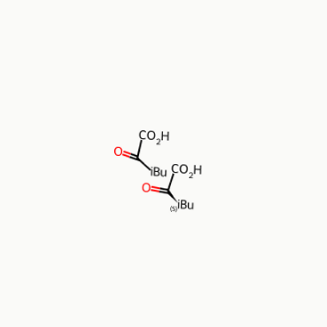 CCC(C)C(=O)C(=O)O.CC[C@H](C)C(=O)C(=O)O